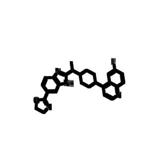 CC(c1nc2ccc(C3=NCCO3)cc2[nH]1)C1CCC(c2ccnc3ccc(F)cc23)CC1